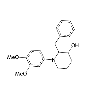 COc1ccc(N2CCCC(O)C2Cc2ccccc2)cc1OC